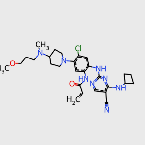 C=CC(=O)Nc1cc(N2CCC(N(C)CCCOC)CC2)c(Cl)cc1Nc1ncc(C#N)c(NC2CCC2)n1